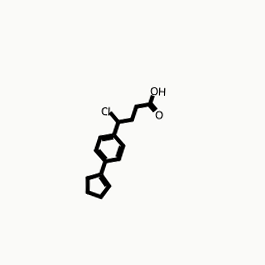 O=C(O)CCC(Cl)c1ccc(C2=CCCC2)cc1